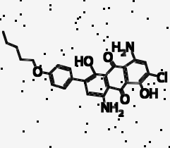 CCCCCOc1ccc(-c2cc(N)c3c(c2O)C(=O)c2c(N)cc(Cl)c(O)c2C3=O)cc1